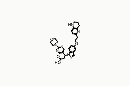 O=C(O)CC(c1cnc(N2CCOCC2)nc1)n1ncc2cc(OCCc3ccc4c(n3)CCCN4)ccc21